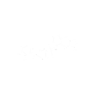 CN1CCC(Oc2cccc(NS(=O)(=O)c3ccc(Oc4cccc(Cl)c4Cl)cc3)c2C(F)(F)F)C1